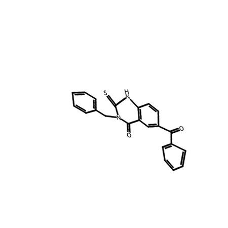 O=C(c1ccccc1)c1ccc2[nH]c(=S)n(Cc3ccccc3)c(=O)c2c1